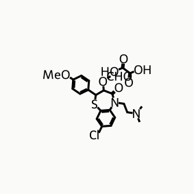 COc1ccc(C2Sc3cc(Cl)ccc3N(CCN(C)C)C(=O)C2OC=O)cc1.O=C(O)C(=O)O